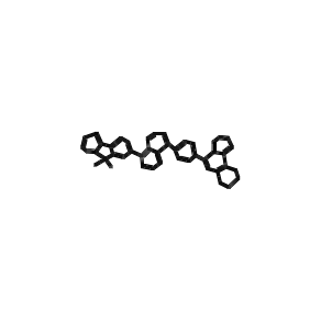 CC1(C)c2ccccc2-c2ccc(-c3cccc4c(-c5ccc(-c6cc7c(c8ccccc68)CCCC7)cc5)cccc34)cc21